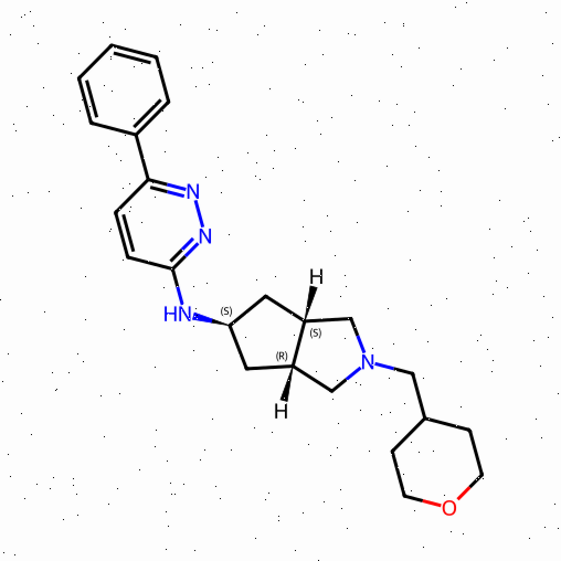 c1ccc(-c2ccc(N[C@H]3C[C@@H]4CN(CC5CCOCC5)C[C@@H]4C3)nn2)cc1